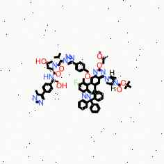 CO[C@@H](C)COc1nc(N2C[C@@H]3C[C@H]2CN3C(=O)OC(C)(C)C)c2cc(C3CC3)c(-c3c(C)c(F)cc4nn(C(c5ccccc5)(c5ccccc5)c5ccccc5)cc34)c(OCc3ccc(-c4cn([C@H](C(=O)N5C[C@H](O)C[C@H]5C(=O)N[C@@H](CO)c5ccc(-c6cncnc6C)cc5)C(C)C)nn4)cc3)c2n1